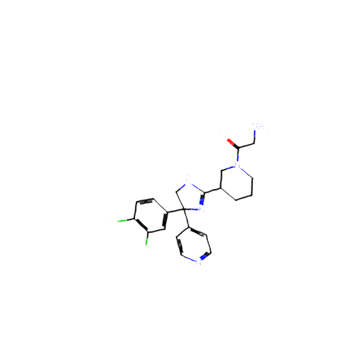 NCC(=O)N1CCCC(C2=NC(c3ccncc3)(c3ccc(Cl)c(Cl)c3)CN2)C1